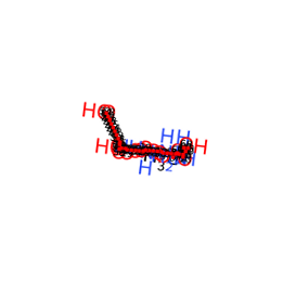 CN[C@@H](CCCCNC(=O)COCCOCCNC(=O)COCCOCCCC(=O)CCC(NC(=O)CCCCCCCCCCCCCCCCC(=O)O)C(=O)O)C(=O)CN[C@@H](Cc1ccc(O)cc1)C(N)=O